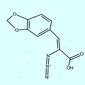 [N-]=[N+]=NC(=Cc1ccc2c(c1)OCO2)C(=O)O